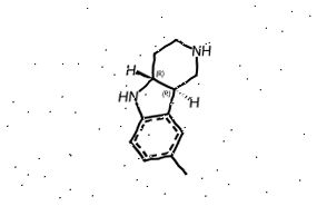 Cc1ccc2c(c1)[C@@H]1CNCC[C@H]1N2